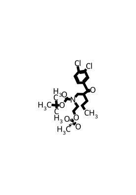 CCCC(CN(CCOS(C)(=O)=O)C(=O)OC(C)(C)C)C(=O)c1ccc(Cl)c(Cl)c1